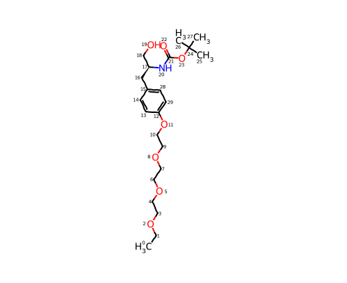 CCOCCOCCOCCOc1ccc(C[C@@H](CO)NC(=O)OC(C)(C)C)cc1